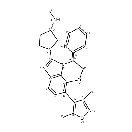 CN[C@H]1CCN(c2nc3ccc(-c4c(C)noc4C)c4c3n2[C@@H](c2ccccn2)CO4)C1